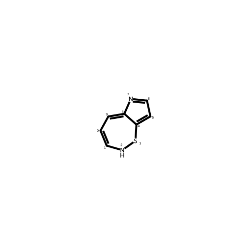 C1=CNSC2=CC=NC2=C1